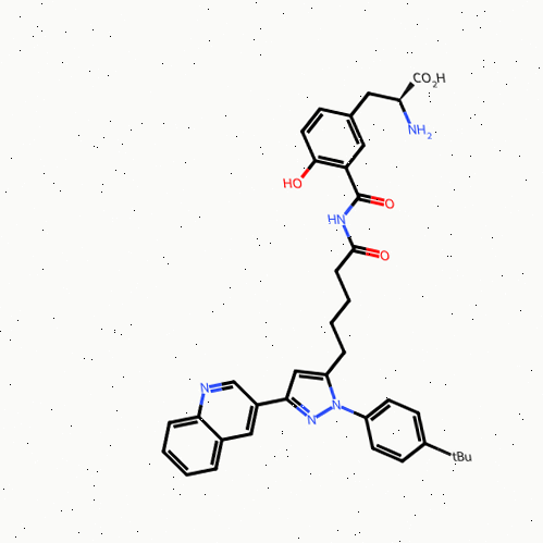 CC(C)(C)c1ccc(-n2nc(-c3cnc4ccccc4c3)cc2CCCCC(=O)NC(=O)c2cc(C[C@H](N)C(=O)O)ccc2O)cc1